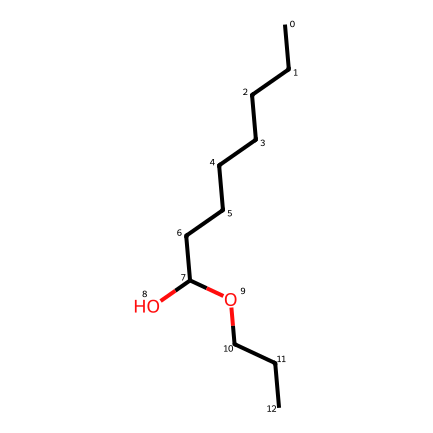 CCCCCCCC(O)OCCC